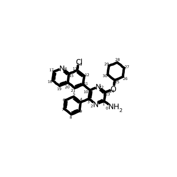 Nc1nc(-c2ccccc2)c(-c2cc(Cl)c3ncccc3c2)nc1OC1CCCCC1